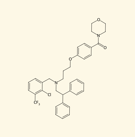 O=C(c1ccc(OCCCN(Cc2cccc(C(F)(F)F)c2Cl)CC(c2ccccc2)c2ccccc2)cc1)N1CCOCC1